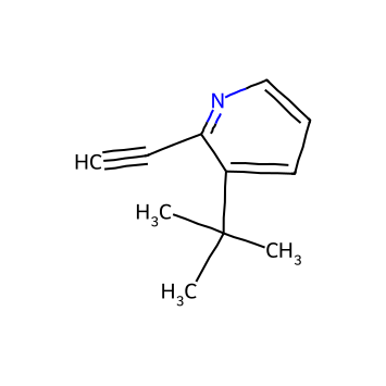 C#Cc1ncccc1C(C)(C)C